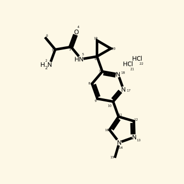 CC(N)C(=O)NC1(c2ccc(-c3cnn(C)c3)nn2)CC1.Cl.Cl